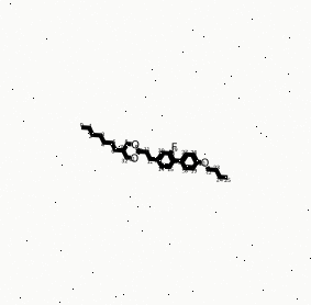 CCCCCCCC1COC(CCc2ccc(-c3ccc(OCCCC)cc3)c(F)c2)OC1